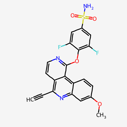 C#Cc1nc2cc(OC)ccc2c2c(Oc3c(F)cc(S(N)(=O)=O)cc3F)nccc12